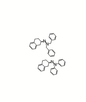 c1ccc(CN(Cc2ccccc2)N=C2CCc3ccccc3C2)cc1.c1ccc(N(N=C2CCc3ccccc3C2)c2ccccc2)cc1